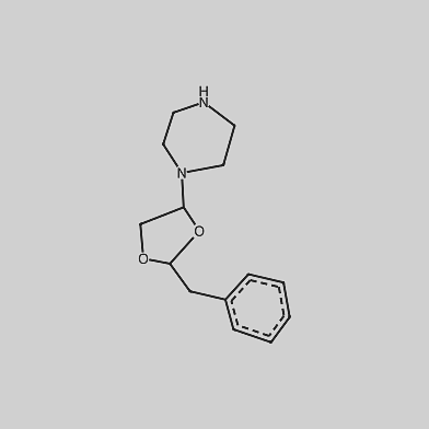 c1ccc(CC2OCC(N3CCNCC3)O2)cc1